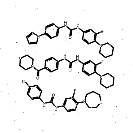 O=C(Nc1ccc(-n2cccc2)cc1)Nc1ccc(N2CCCCC2)c(F)c1.O=C(Nc1ccc(C(=O)N2CCOCC2)cc1)Nc1ccc(N2CCCCC2)c(F)c1.O=C(Nc1ccc(Cl)cc1)Nc1ccc(N2CCCOCC2)c(F)c1